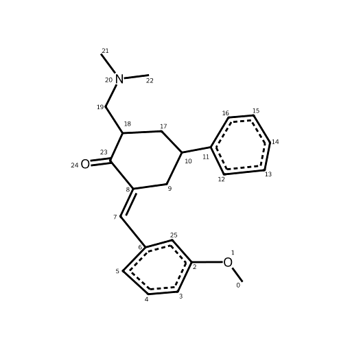 COc1cccc(/C=C2\CC(c3ccccc3)CC(CN(C)C)C2=O)c1